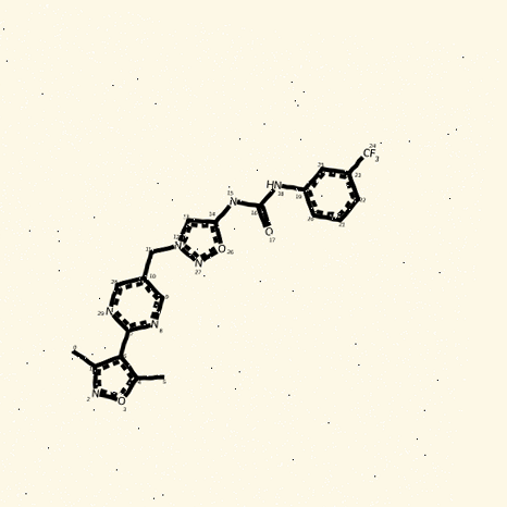 Cc1noc(C)c1-c1ncc(C[n+]2cc([N-]C(=O)Nc3cccc(C(F)(F)F)c3)on2)cn1